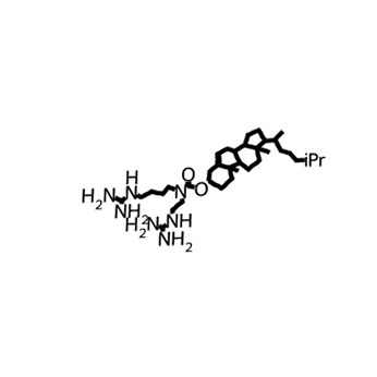 CC(C)CCCC(C)C1CCC2C3CC=C4CC(OC(=O)N(CCCCNC(N)N)CCNC(N)N)CCC4(C)C3CCC12C